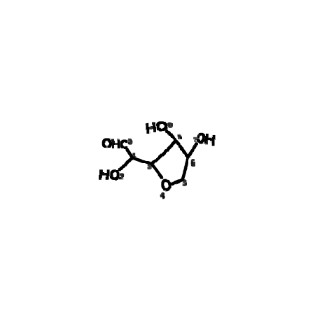 O=CC(O)C1OCC(O)C1O